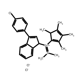 CC1=C(C)C(C)[C]([Zr+2]([CH]2C=C(c3ccc(Cl)cc3)c3ccccc32)=[Si](C)C)=C1C.[Cl-].[Cl-]